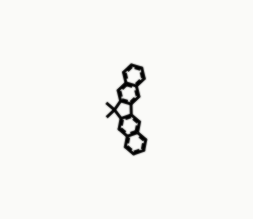 CC1(C)c2cc3ccccc3cc2-c2cc3ccccc3cc21